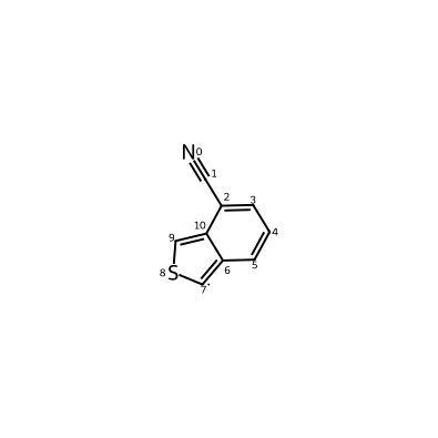 N#Cc1cccc2[c]scc12